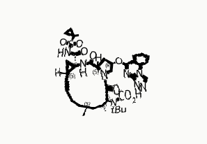 C[C@H]1CCC=C[C@@H]2C[C@@]2(C(=O)NS(=O)(=O)C2(C)CC2)NC(=O)[C@@H]2C[C@@H](Oc3nc4nncn4c4ccccc34)CN2C(=O)[C@@H](N(C(=O)O)C(C)(C)C)[C@H](C)C1